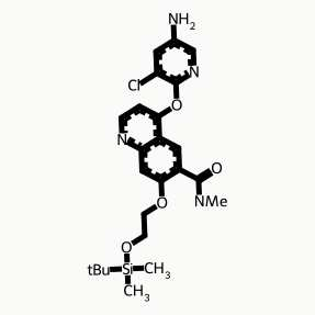 CNC(=O)c1cc2c(Oc3ncc(N)cc3Cl)ccnc2cc1OCCO[Si](C)(C)C(C)(C)C